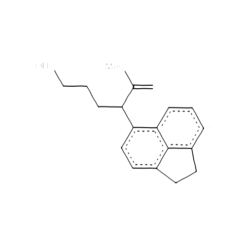 COC(=O)C(CCCC=O)c1ccc2c3c(cccc13)CC2